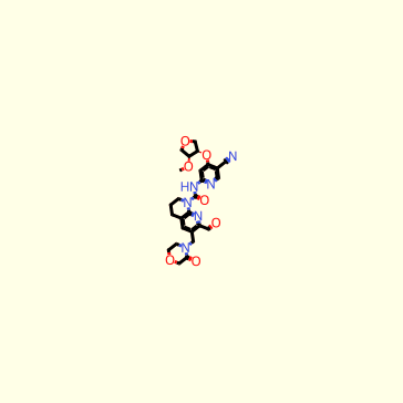 CO[C@H]1COC[C@@H]1Oc1cc(NC(=O)N2CCCc3cc(CN4CCOCC4=O)c(C=O)nc32)ncc1C#N